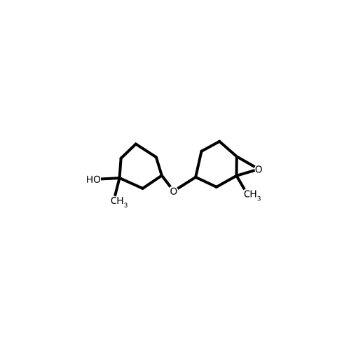 CC1(O)CCCC(OC2CCC3OC3(C)C2)C1